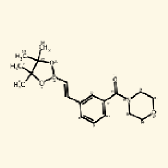 CC1(C)OB(C=Cc2cccc(C(=O)N3CCOCC3)c2)OC1(C)C